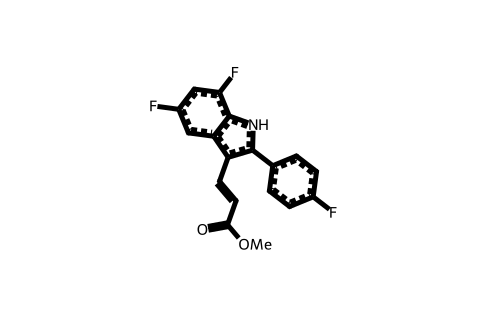 COC(=O)/C=C/c1c(-c2ccc(F)cc2)[nH]c2c(F)cc(F)cc12